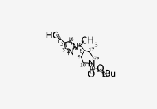 C#Cc1cnn(C(C)C2CCN(C(=O)OC(C)(C)C)CC2)c1